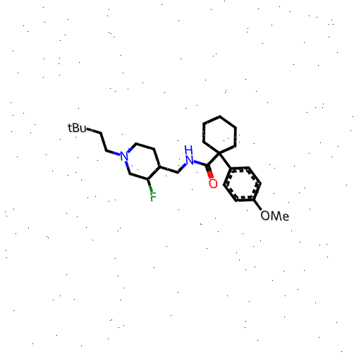 COc1ccc(C2(C(=O)NCC3CCN(CCC(C)(C)C)CC3F)CCCCC2)cc1